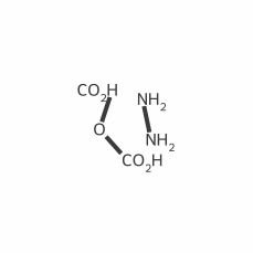 NN.O=C(O)OC(=O)O